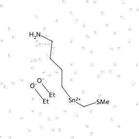 CC[O-].CC[O-].CS[CH2][Sn+2][CH2]CCCN